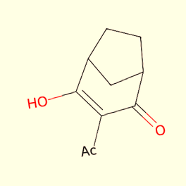 CC(=O)C1=C(O)C2CCC(C2)C1=O